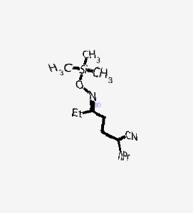 CCCC(C#N)CC/C(CC)=N/O[Si](C)(C)C